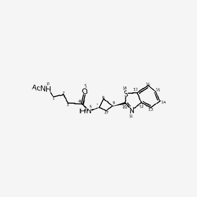 CC(=O)NCCCC(=O)N[C@H]1C[C@@H](c2nc3ccccc3s2)C1